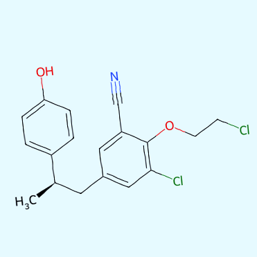 C[C@H](Cc1cc(Cl)c(OCCCl)c(C#N)c1)c1ccc(O)cc1